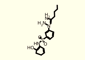 CCCC/C(N)=C/N(N)c1cccc(S(=O)(=O)NC2=C(O)CCC=C2)c1